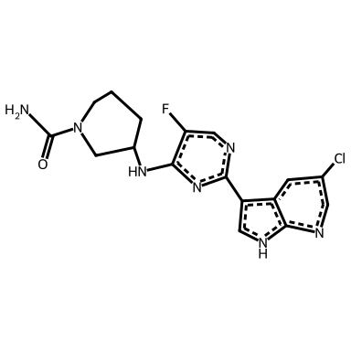 NC(=O)N1CCCC(Nc2nc(-c3c[nH]c4ncc(Cl)cc34)ncc2F)C1